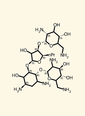 CCC[C@H]1O[C@@H](O[C@@H]2C(O)[C@H](N)CC(N)[C@H]2O[C@H]2OC(CN)[C@@H](O)[C@H](O)C2N)C(O)[C@H]1O[C@H]1OC(CN)[C@@H](O)C(O)[C@H]1N